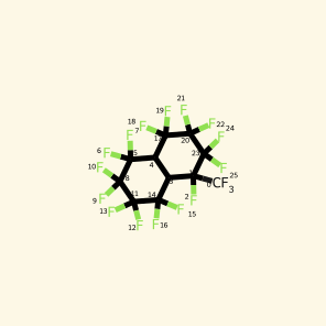 FC(F)(F)C1(F)C2C(C(F)(F)C(F)(F)C(F)(F)C2(F)F)C(F)(F)C(F)(F)C1(F)F